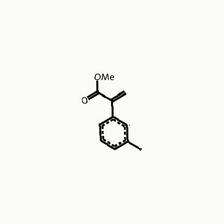 C=C(C(=O)OC)c1[c]c(C)ccc1